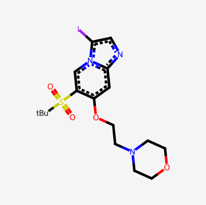 CC(C)(C)S(=O)(=O)c1cn2c(I)cnc2cc1OCCN1CCOCC1